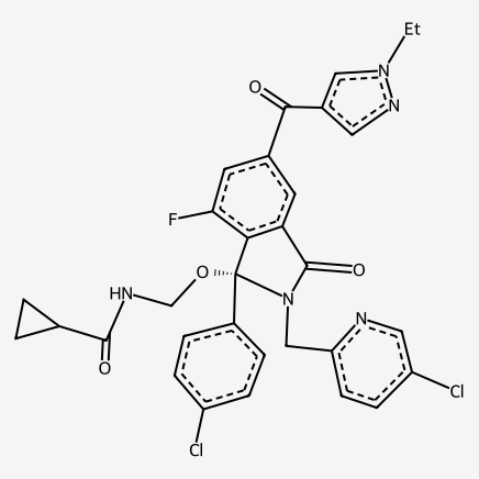 CCn1cc(C(=O)c2cc(F)c3c(c2)C(=O)N(Cc2ccc(Cl)cn2)[C@@]3(OCNC(=O)C2CC2)c2ccc(Cl)cc2)cn1